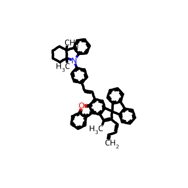 C=C/C=C\C1=C(C)c2c(cc(/C=C/c3ccc(N4c5ccccc5C5(C)CCCCC45C)cc3)c3oc4ccccc4c23)C12c1ccccc1-c1ccccc12